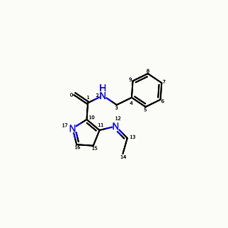 C=C(NCc1ccccc1)C1=C(/N=C\C)CC=N1